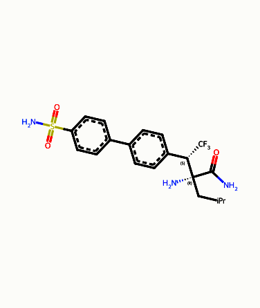 CC(C)C[C@](N)(C(N)=O)[C@H](c1ccc(-c2ccc(S(N)(=O)=O)cc2)cc1)C(F)(F)F